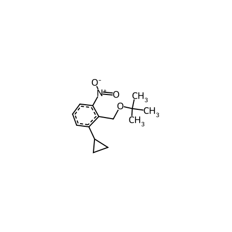 CC(C)(C)OCc1c(C2CC2)cccc1[N+](=O)[O-]